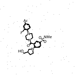 CNS(=O)(=O)c1ccc(N2CCC(CO)C2)c(C(=O)N2CCN(c3ccc(C(C)=O)cc3F)CC2)c1